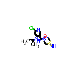 CCC(C)n1nc([N+]2([O-])CCS(=N)CC2)c2cnc(Cl)cc21